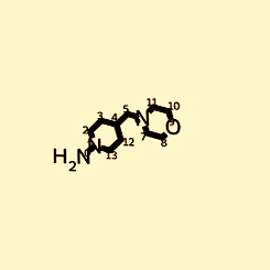 NN1CCC(CN2CCOCC2)CC1